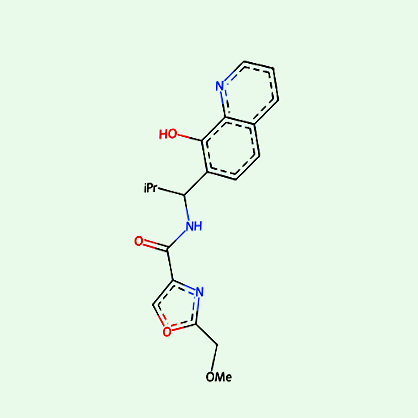 COCc1nc(C(=O)NC(c2ccc3cccnc3c2O)C(C)C)co1